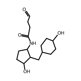 O=CCCC(=O)NC1CCC(O)C1CC1CCC(O)CC1